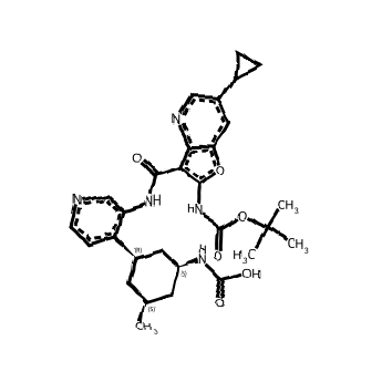 C[C@@H]1C[C@H](NC(=O)O)C[C@H](c2ccncc2NC(=O)c2c(NC(=O)OC(C)(C)C)oc3cc(C4CC4)cnc23)C1